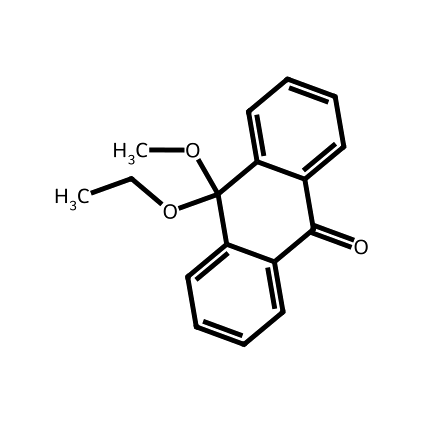 CCOC1(OC)c2ccccc2C(=O)c2ccccc21